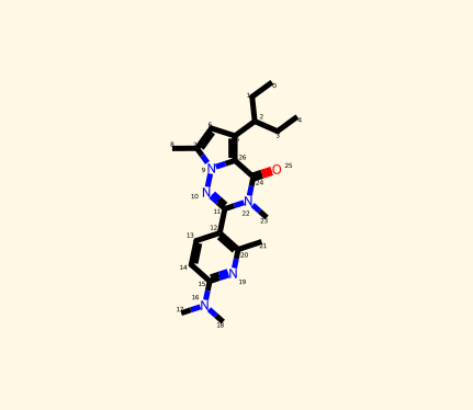 CCC(CC)c1cc(C)n2nc(-c3ccc(N(C)C)nc3C)n(C)c(=O)c12